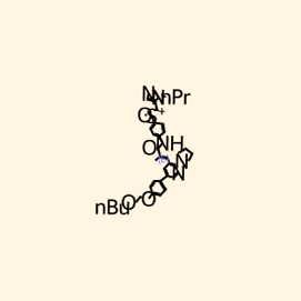 CCCCOCCOc1ccc(-c2cnc(N3CCCC3)c(/C=C(\C)C(=O)Nc3ccc([S+]([O-])Cc4cncn4CCC)cc3)c2)cc1